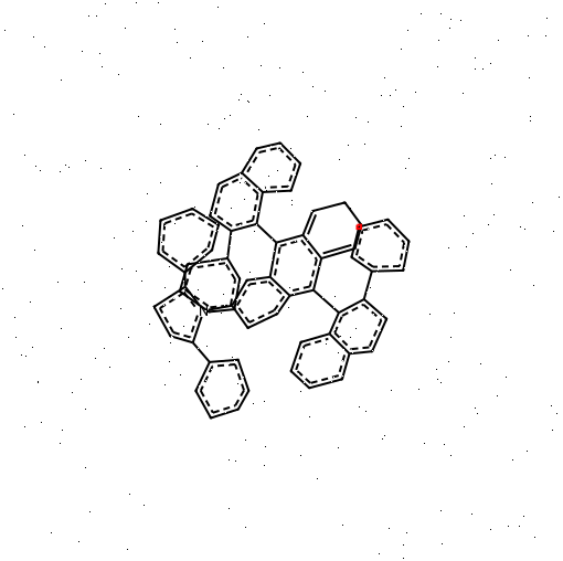 C1=c2c(-c3c(-c4ccccc4)ccc4ccccc34)c3ccc(-n4c(-c5ccccc5)ccc4-c4ccccc4)cc3c(-c3c(-c4ccccc4)ccc4ccccc34)c2=CCC1